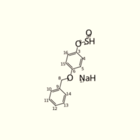 O=[SH]Oc1ccc(OCc2ccccc2)cc1.[NaH]